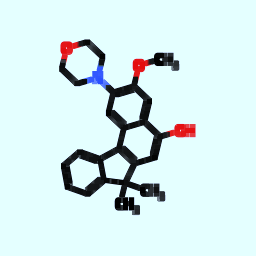 COc1cc2c(O)cc3c(c2cc1N1CCOCC1)-c1ccccc1C3(C)C